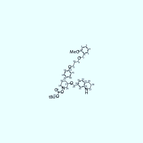 COc1ccccc1COCCCOc1ccc([C@H]2CCN(OC(=O)OC(C)(C)C)C[C@@H]2OCc2ccc3c(c2)NCCC3)cc1